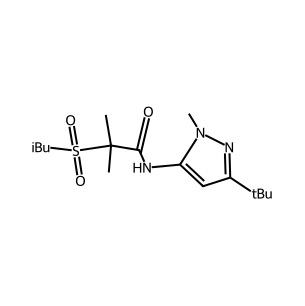 CCC(C)S(=O)(=O)C(C)(C)C(=O)Nc1cc(C(C)(C)C)nn1C